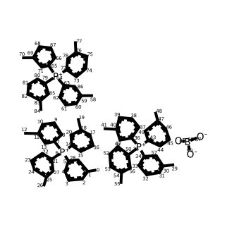 Cc1cccc([P+](c2cccc(C)c2)(c2cccc(C)c2)c2cccc(C)c2)c1.Cc1cccc([P+](c2cccc(C)c2)(c2cccc(C)c2)c2cccc(C)c2)c1.Cc1cccc([P+](c2cccc(C)c2)(c2cccc(C)c2)c2cccc(C)c2)c1.[O-]B([O-])[O-]